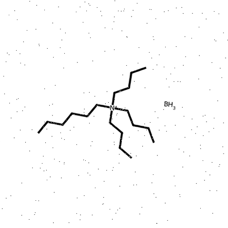 B.CCCCCC[N+](CCCC)(CCCC)CCCC